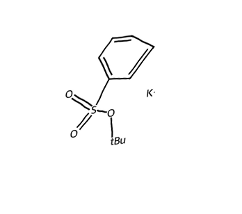 CC(C)(C)OS(=O)(=O)c1ccccc1.[K]